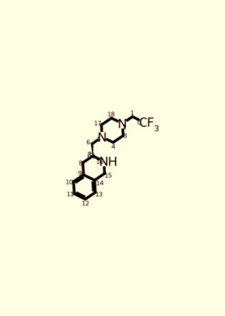 FC(F)(F)CN1CCN(C[C@@H]2Cc3ccccc3CN2)CC1